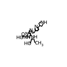 CCC[C@@H](CCO)Nc1nc(NC(=O)O)nc2cnn(Cc3ccc(C4CCNCC4)nc3)c12